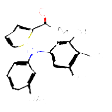 CC(=O)Oc1cccc(Nc2cc(C(C)(C)C)c(OC(C)=O)c(C(C)(C)C)c2)c1.COC(=O)c1cccs1